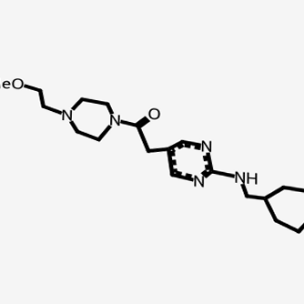 COCCN1CCN(C(=O)Cc2cnc(NCC3CCCCC3)nc2)CC1